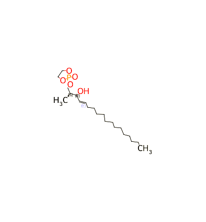 CCCCCCCCCCCCC/C=C/[C@@H](O)[C@@H](C)COP1(=O)OCCO1